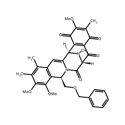 COC1=C(C)C(=O)C2=C(C1=O)[C@@H]1C3=Cc4c(C)c(C)c(OC)c(OC)c4[C@H](COCc4ccccc4)N3C(=O)[C@@H](C2=O)N1C